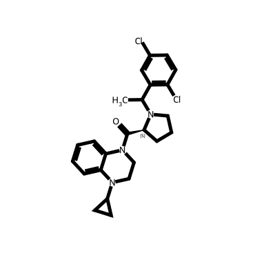 CC(c1cc(Cl)ccc1Cl)N1CCC[C@H]1C(=O)N1CCN(C2CC2)c2ccccc21